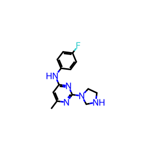 Cc1cc(Nc2ccc(F)cc2)nc(N2CCNC2)n1